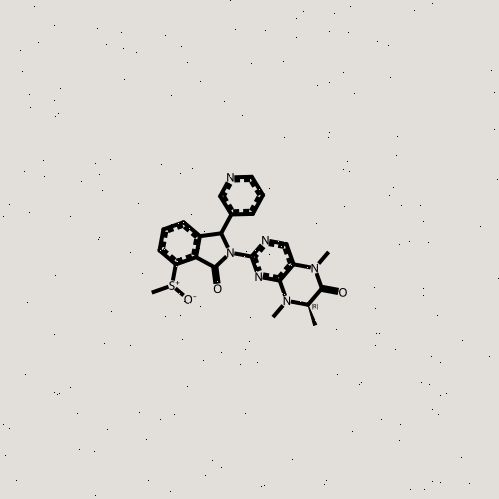 C[C@@H]1C(=O)N(C)c2cnc(N3C(=O)c4c(cccc4[S+](C)[O-])C3c3cccnc3)nc2N1C